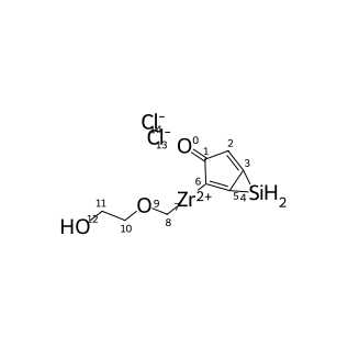 O=C1C=C2[SiH2]C2=[C]1[Zr+2][CH2]OCCO.[Cl-].[Cl-]